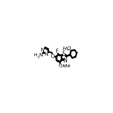 COc1cc(OCc2ccnc(N)n2)c(F)c2sc(C3CCCCC3O)nc12